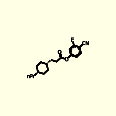 CCC[C@H]1CC[C@H](CCC(=O)Oc2ccc(C#N)c(F)c2)CC1